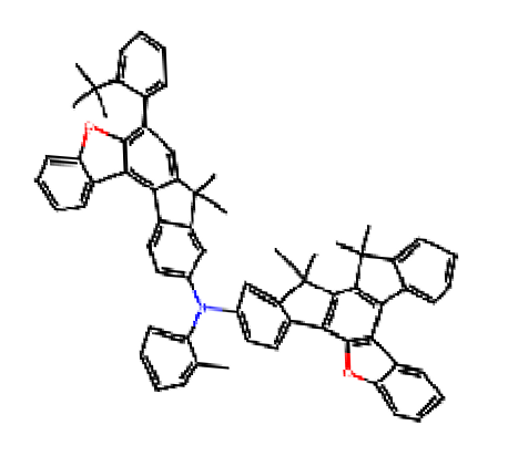 Cc1ccccc1N(c1ccc2c(c1)C(C)(C)c1cc(-c3ccccc3C(C)(C)C)c3oc4ccccc4c3c1-2)c1ccc2c(c1)C(C)(C)c1c3c(c4c(oc5ccccc54)c1-2)-c1ccccc1C3(C)C